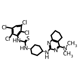 CN(C)c1nc(N[C@H]2CC[C@@H](NC(=S)Nc3c(Cl)c(Cl)cc(Cl)c3Cl)CC2)nc2c1CCCC2